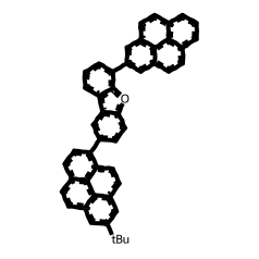 CC(C)(C)c1cc2ccc3ccc(-c4ccc5oc6c(-c7cc8ccc9cccc%10ccc(c7)c8c9%10)cccc6c5c4)c4ccc(c1)c2c34